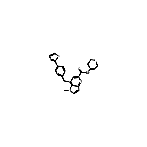 Cn1ccc2nc(C(=O)NC3CCOCC3)cc(Cc3ccc(-c4nccs4)cc3)c21